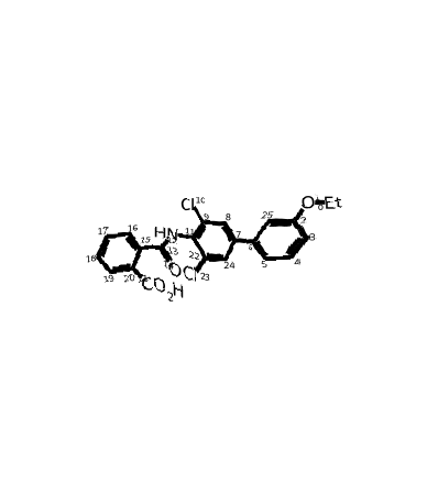 CCOc1cccc(-c2cc(Cl)c(NC(=O)c3ccccc3C(=O)O)c(Cl)c2)c1